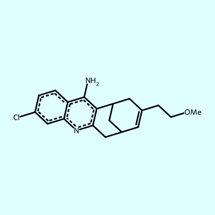 COCCC1=CC2Cc3nc4cc(Cl)ccc4c(N)c3C(C1)C2